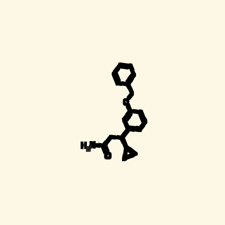 NC(=O)CC(c1cccc(OCc2ccccc2)c1)C1CC1